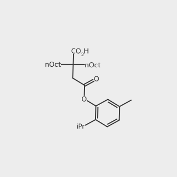 CCCCCCCCC(CCCCCCCC)(CC(=O)Oc1cc(C)ccc1C(C)C)C(=O)O